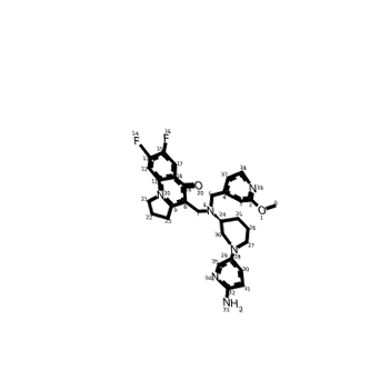 COc1cc(CN(Cc2c3n(c4cc(F)c(F)cc4c2=O)CCC3)[C@H]2CCCN(c3ccc(N)nc3)C2)ccn1